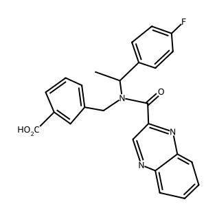 CC(c1ccc(F)cc1)N(Cc1cccc(C(=O)O)c1)C(=O)c1cnc2ccccc2n1